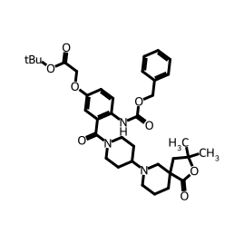 CC(C)(C)OC(=O)COc1ccc(NC(=O)OCc2ccccc2)c(C(=O)N2CCC(N3CCCC4(C3)CC(C)(C)OC4=O)CC2)c1